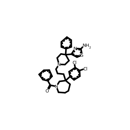 Nc1nc(C2(c3ccccc3)CCN(CCCC3(c4ccc(Cl)c(Cl)c4)CCCCN(C(=O)c4ccccc4)C3)CC2)cs1